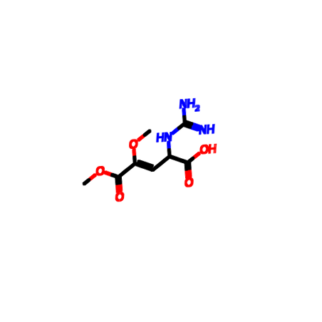 COC(=O)C(=CC(NC(=N)N)C(=O)O)OC